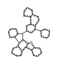 c1ccc(-c2cc(C3c4ccccc4-c4c3c3sc5ccccc5c3c3ccccc43)cc3c2ccc2ccccc23)cc1